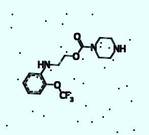 O=C(OCCNc1ccccc1OC(F)(F)F)N1CCNCC1